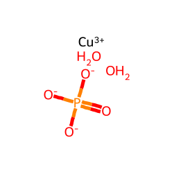 O.O.O=P([O-])([O-])[O-].[Cu+3]